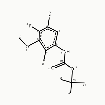 COc1c(F)c(F)cc(NC(=O)OC(C)(C)C)c1F